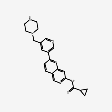 O=C(Nc1cc2nc(-c3cncc(CN4CCNCC4)c3)ccc2cn1)C1CC1